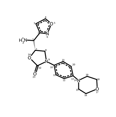 NC(c1ccon1)[C@@H]1CN(c2ccc(N3CCOCC3)cc2)C(=O)O1